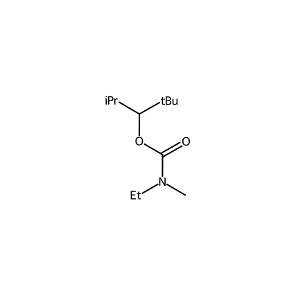 CCN(C)C(=O)OC(C(C)C)C(C)(C)C